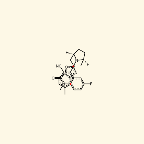 Cc1ccc2oc(N3[C@@H]4CC[C@H]3CN(c3c(C#N)c(=O)n(C)c5ccc(F)cc35)C4)nc2c1